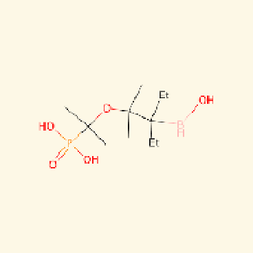 CCC(BO)(CC)C(C)(C)OC(C)(C)P(=O)(O)O